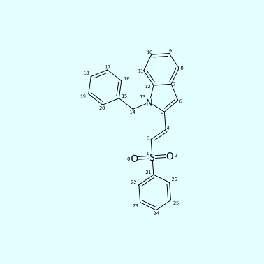 O=S(=O)(/C=C/c1cc2ccccc2n1Cc1ccccc1)c1ccccc1